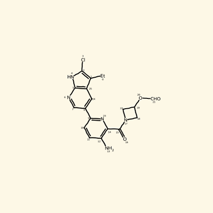 CCc1c(Cl)[nH]c2ncc(-c3ccc(N)c(C(=O)N4CC(OC=O)C4)n3)cc12